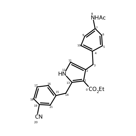 CCOC(=O)c1c(Cc2ccc(NC(C)=O)cc2)c[nH]c1Cc1cccc(C#N)c1